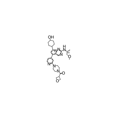 COC[C@H](C)Nc1ncc2c(-c3ccnc(N4CCN(C(=O)C5COC5)CC4)c3)cc(C3CCC(O)CC3)n2n1